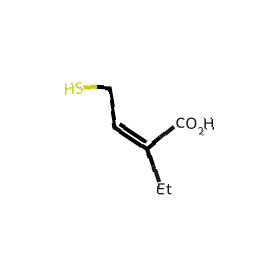 CCC(=CCS)C(=O)O